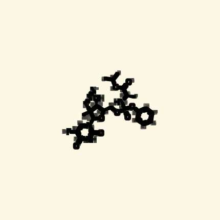 CC(C)OC(=O)[C@@H](C)NP(=O)(OC[C@H]1O[C@@H](n2cc(F)c(=O)[nH]c2=O)[C@](C)(N=[N+]=[N-])[C@@H]1O)Oc1ccccc1